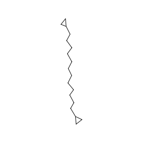 C(CCCCCCC1CC1)CCCCCC1CC1